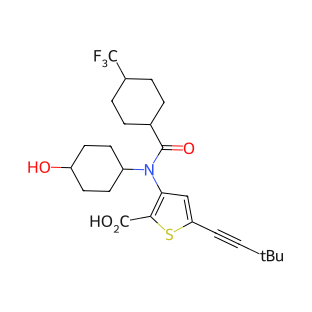 CC(C)(C)C#Cc1cc(N(C(=O)C2CCC(C(F)(F)F)CC2)C2CCC(O)CC2)c(C(=O)O)s1